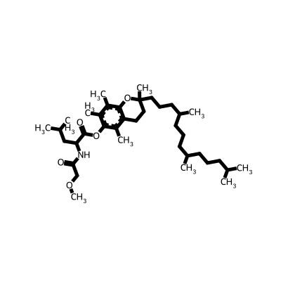 COCC(=O)NC(CC(C)C)C(=O)Oc1c(C)c(C)c2c(c1C)CCC(C)(CCCC(C)CCCC(C)CCCC(C)C)O2